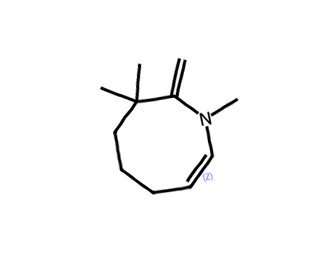 C=C1N(C)/C=C\CCCC1(C)C